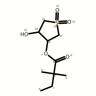 CCC(C)(C)C(=O)OC1CS(=O)(=O)CC1O